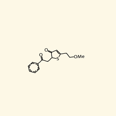 COCCC1=CC(=O)C(CC(=O)c2ccccc2)S1